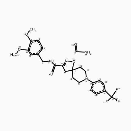 COc1ccc(CNC(=O)C2=NOC3(CCN(c4ccc(C(F)(F)F)cc4)CC3)C2)cc1OC.NC=O